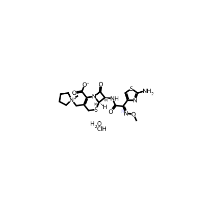 CO/N=C(/C(=O)N[C@@H]1C(=O)N2C(C(=O)[O-])=C(C[N+]3(C)CCCC3)CS[C@H]12)c1csc(N)n1.Cl.O